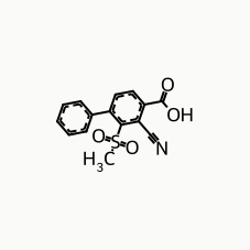 CS(=O)(=O)c1c(-c2ccccc2)ccc(C(=O)O)c1C#N